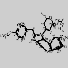 Cc1cnc(Cc2nc3cnc4ccc(C#N)cc4c3n2C2CCOC(C)(C)C2)cn1